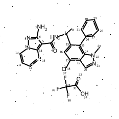 CC(NC(=O)c1c(N)nn2cccnc12)c1cc(Cl)c2cnn(C)c2c1-c1ccccc1.O=C(O)C(F)(F)F